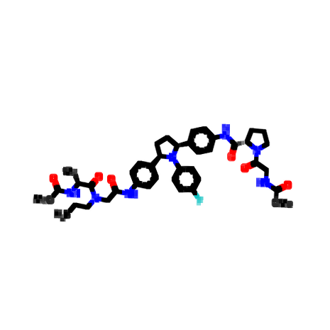 BCCN(CC(=O)Nc1ccc([C@H]2CC[C@@H](c3ccc(NC(=O)[C@@H]4CCCN4C(=O)CNC(=O)OC)cc3)N2c2ccc(F)cc2)cc1)C(=O)[C@@H](NC(=O)OC)C(C)(C)C